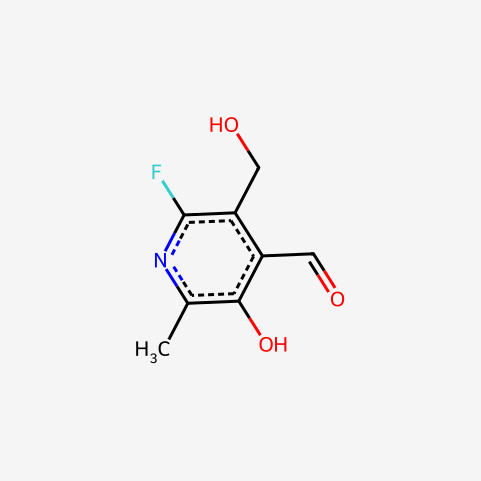 Cc1nc(F)c(CO)c(C=O)c1O